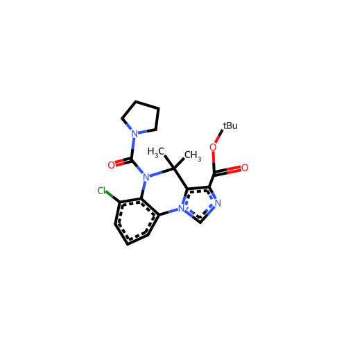 CC(C)(C)OC(=O)c1ncn2c1C(C)(C)N(C(=O)N1CCCC1)c1c(Cl)cccc1-2